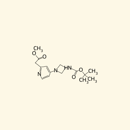 COC(=O)Cc1cc(N2CC(NC(=O)OC(C)(C)C)C2)ccn1